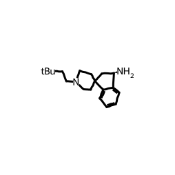 CC(C)(C)CCN1CCC2(CC1)C[C@H](N)c1ccccc12